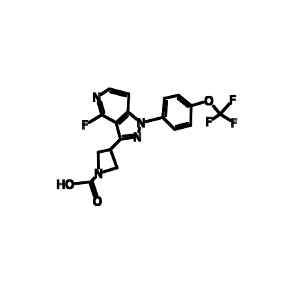 O=C(O)N1CC(c2nn(-c3ccc(OC(F)(F)F)cc3)c3ccnc(F)c23)C1